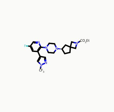 CCOC(=O)N1CC2(CC[C@@H](N3CCN(c4ncc(F)cc4-c4cnn(C(F)(F)F)c4)CC3)C2)C1